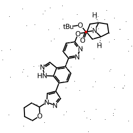 CC(C)(C)OC(=O)N1[C@@H]2CC[C@H]1CC(Oc1ccc(-c3ccc(-c4cnn(C5CCCCO5)c4)c4[nH]ncc34)nn1)C2